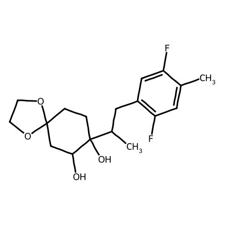 Cc1cc(F)c(CC(C)C2(O)CCC3(CC2O)OCCO3)cc1F